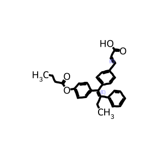 CCCC(=O)Oc1ccc(/C(=C(\CC)c2ccccc2)c2ccc(/C=C/C(=O)O)cc2)cc1